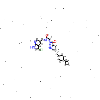 C[C@H](NC(=O)[C@H]1C[C@H](CCc2ccc(C3CCC3)cc2)CN1)C(=O)NCc1cnc2[nH]cc(Cl)c2c1